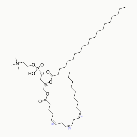 CCCCCCCC/C=C\C/C=C\C/C=C\CCCC(=O)OC[C@H](COP(=O)(O)OCC[N+](C)(C)C)OC(=O)CCCCCCCCCCCCCCCCCCC